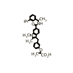 Cc1c(Cc2cccc(OC(C)C(=O)O)c2)c2ccc(C(=O)N[C@@H](C)c3cccc(C(C)C)c3)cc2n1C